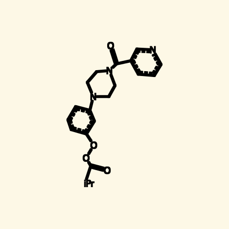 CC(C)C(=O)OOc1cccc(N2CCN(C(=O)c3cccnc3)CC2)c1